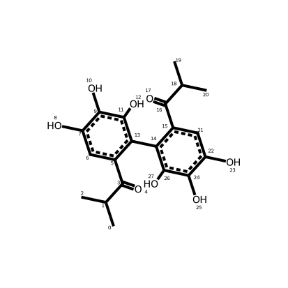 CC(C)C(=O)c1cc(O)c(O)c(O)c1-c1c(C(=O)C(C)C)cc(O)c(O)c1O